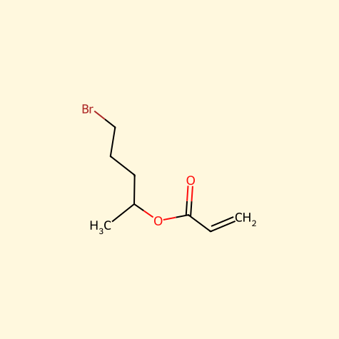 C=CC(=O)OC(C)CCCBr